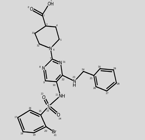 O=C(O)C1CCN(c2ncc(NS(=O)(=O)c3ccccc3Br)c(NCc3ccccc3)n2)CC1